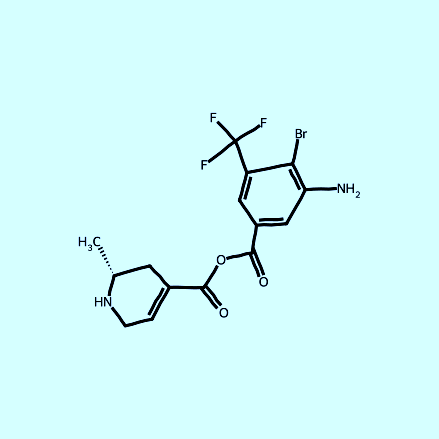 C[C@@H]1CC(C(=O)OC(=O)c2cc(N)c(Br)c(C(F)(F)F)c2)=CCN1